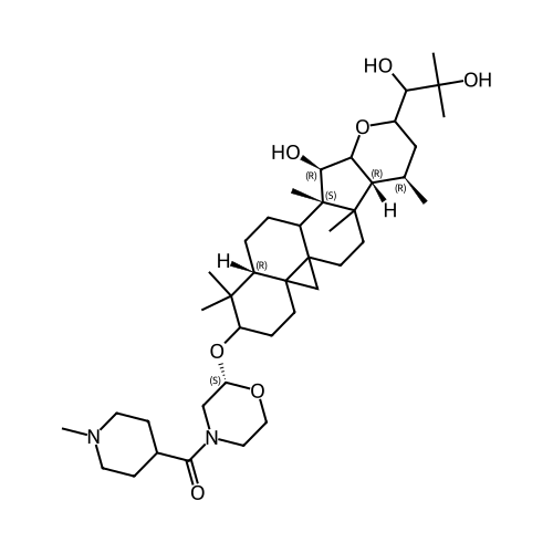 C[C@@H]1CC(C(O)C(C)(C)O)OC2[C@H]1C1(C)CCC34CC35CCC(O[C@H]3CN(C(=O)C6CCN(C)CC6)CCO3)C(C)(C)[C@@H]5CCC4[C@]1(C)[C@H]2O